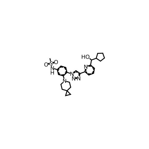 CS(=O)(=O)Nc1ccc(-n2cc(-c3cccc(C(O)C4CCCC4)n3)nn2)c(N2CCC3(CC2)CC3)c1